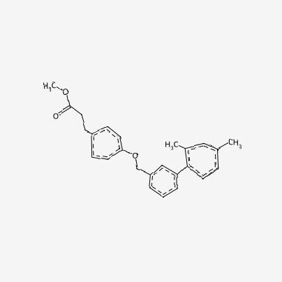 COC(=O)CCc1ccc(OCc2cccc(-c3ccc(C)cc3C)c2)cc1